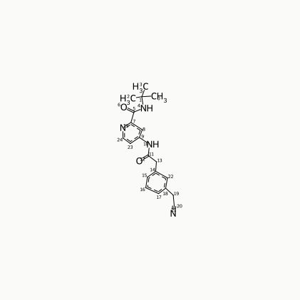 CC(C)(C)NC(=O)c1cc(NC(=O)Cc2cccc(CC#N)c2)ccn1